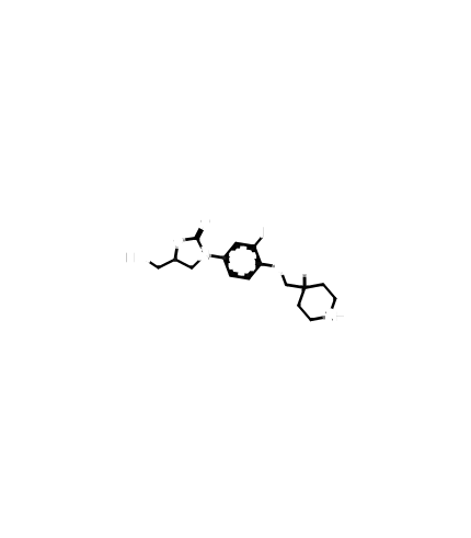 O=C1OC(CO)CN1c1ccc(OCC2(O)CCNCC2)c(F)c1